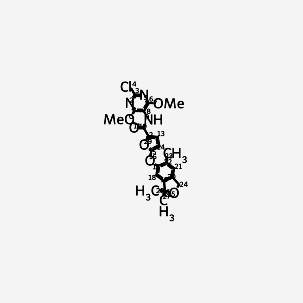 COc1nc(Cl)nc(OC)c1NC(=O)c1ccc(Oc2cc3c(cc2C)COC3(C)C)o1